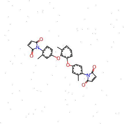 Cc1cc(Oc2cccc(C)c2Oc2ccc(N3C(=O)C=CC3=O)c(C)c2)ccc1N1C(=O)C=CC1=O